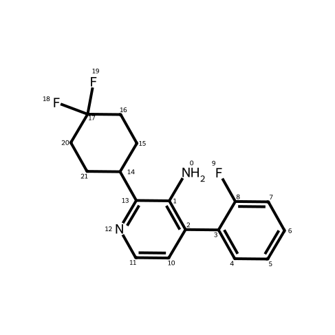 Nc1c(-c2ccccc2F)ccnc1C1CCC(F)(F)CC1